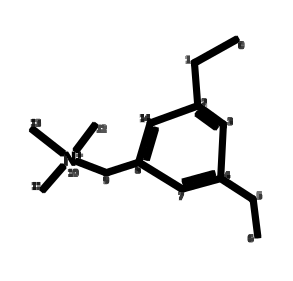 CCc1cc(CC)cc(C[N+](C)(C)C)c1